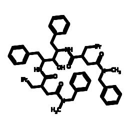 CC(C)CC(CC(=O)N(C)Cc1ccccc1)C(=O)NC(Cc1ccccc1)C(O)C(Cc1ccccc1)NC(=O)C(CC(=O)N(C)Cc1ccccc1)CC(C)C